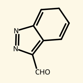 O=CC1=C2C=CCC=C2N=N1